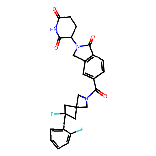 O=C1CCC(N2Cc3cc(C(=O)N4CC5(C4)CC(F)(c4ccccc4F)C5)ccc3C2=O)C(=O)N1